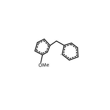 COc1cccc(Cc2[c]cccc2)c1